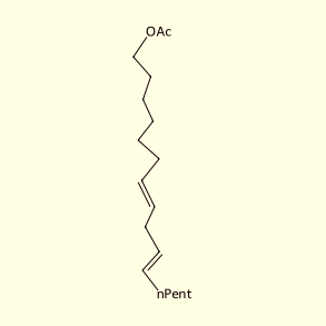 CCCCCC=CCC=CCCCCCCOC(C)=O